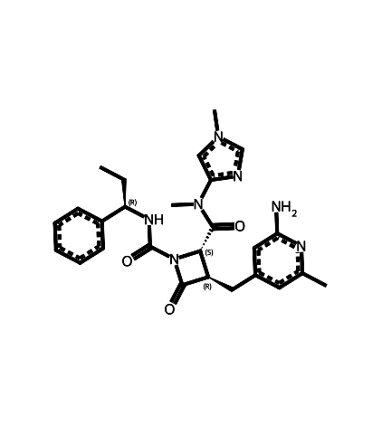 CC[C@@H](NC(=O)N1C(=O)[C@H](Cc2cc(C)nc(N)c2)[C@H]1C(=O)N(C)c1cn(C)cn1)c1ccccc1